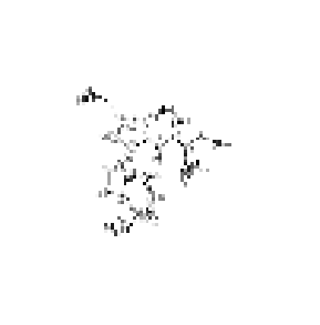 CC(C)CC(N)C(O)NC1[C@@H](O)[C@@H](CO)O[C@H]1n1cnc2c(N)ncnc21